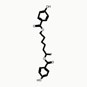 O=C(OCCCCCC(F)OC(=O)c1ccc(O)cc1)c1ccc(O)cc1